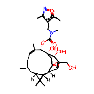 C/C1=C/C[C@H](C)C[C@@H]2[C@H]([C@@H]3C=C(CO)[C@@H](O)[C@@](O)(CC3=O)[C@H]1OC(=O)N(C)Cc1c(C)noc1C)C2(C)C